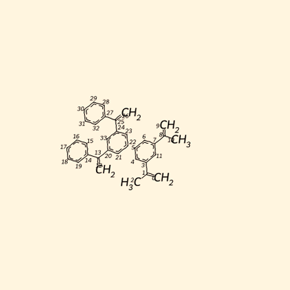 C=C(C)c1cccc(C(=C)C)c1.C=C(c1ccccc1)c1cccc(C(=C)c2ccccc2)c1